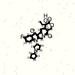 CC[C@@]1(O)C(=O)OCc2c1cc1n(c2=O)Cc2c-1c(=O)c1cc(F)ccc1n2[C@@H]1CCN(C2CCCC2)C1